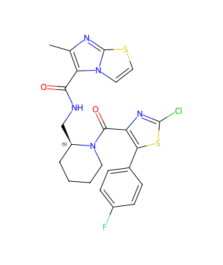 Cc1nc2sccn2c1C(=O)NC[C@@H]1CCCCN1C(=O)c1nc(Cl)sc1-c1ccc(F)cc1